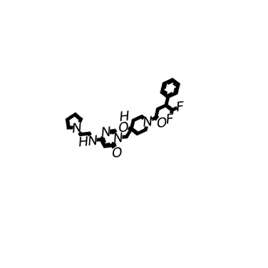 O=C(CC(c1ccccc1)C(F)F)N1CCC(O)(Cn2cnc(NCCN3CCCC3)cc2=O)CC1